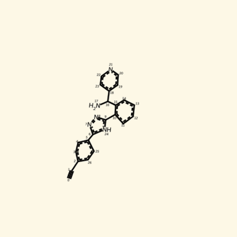 C#Cc1ccc(-c2nnc(-c3ccccc3C(N)c3ccncc3)[nH]2)cc1